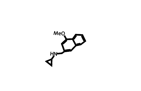 COc1cc(CNC2CC2)cc2ccccc12